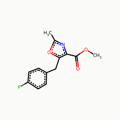 COC(=O)c1nc(C)oc1Cc1ccc(F)cc1